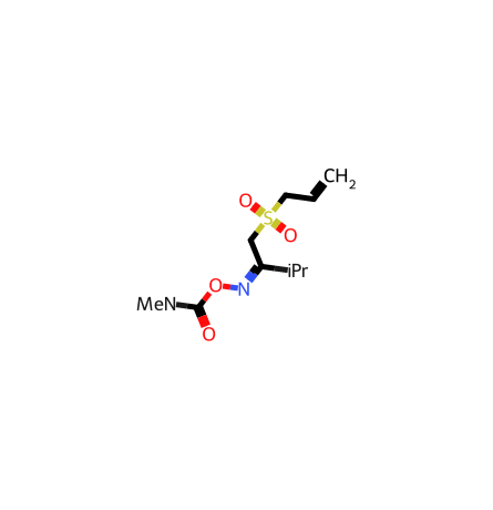 C=CCS(=O)(=O)CC(=NOC(=O)NC)C(C)C